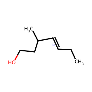 CC/C=C/C(C)CCO